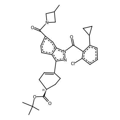 CC1CN(C(=O)c2ccc3c(C4=CC[C@H](C(=O)OC(C)(C)C)CC4)nn(C(=O)c4c(Cl)cccc4C4CC4)c3c2)C1